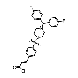 O=C(Cl)C=Cc1ccc(S(=O)(=O)N2CCN(C(c3ccc(F)cc3)c3ccc(F)cc3)CC2)cc1